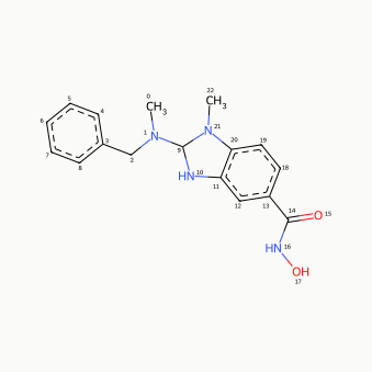 CN(Cc1ccccc1)C1Nc2cc(C(=O)NO)ccc2N1C